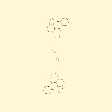 O=c1c2ccccc2n2cnc3ccc(NCCCN4CCN(CCCNc5ccc6ncn7c8ccccc8c(=O)c5c67)CC4)c1c32